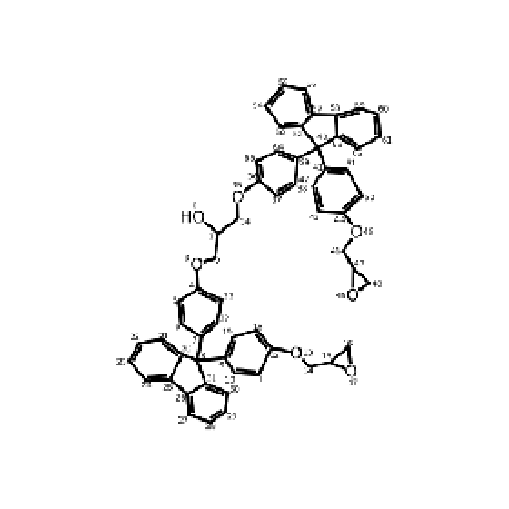 OC(COc1ccc(C2(c3ccc(OCC4CO4)cc3)c3ccccc3-c3ccccc32)cc1)COc1ccc(C2(c3ccc(OCC4CO4)cc3)c3ccccc3-c3ccccc32)cc1